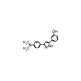 CN(C)c1ccc(-c2cc(-c3cccc(O)c3)[nH]n2)cc1